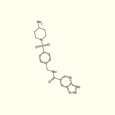 NC1CCN(S(=O)(=O)c2ccc(CNC(=O)c3cnc4[nH]ncc4c3)cc2)CC1